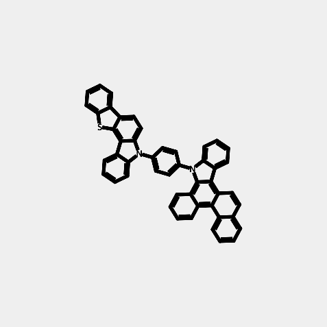 c1ccc2c(c1)ccc1c2c2ccccc2c2c1c1ccccc1n2-c1ccc(-n2c3ccccc3c3c4sc5ccccc5c4ccc32)cc1